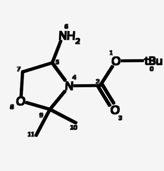 CC(C)(C)OC(=O)N1C(N)COC1(C)C